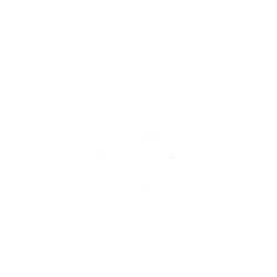 CCOC(=O)CC(C)=O.[Zr][c]1ccccc1